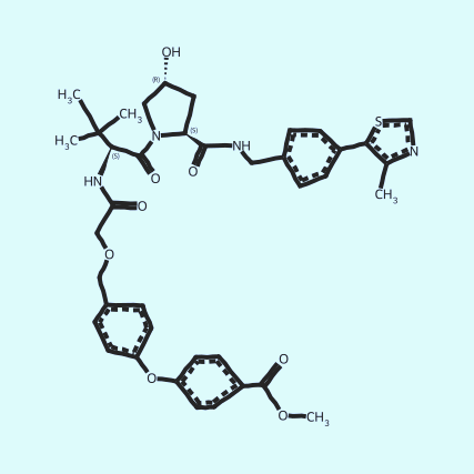 COC(=O)c1ccc(Oc2ccc(COCC(=O)N[C@H](C(=O)N3C[C@H](O)C[C@H]3C(=O)NCc3ccc(-c4scnc4C)cc3)C(C)(C)C)cc2)cc1